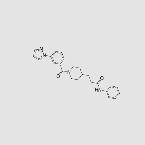 O=C(CCC1CCN(C(=O)c2cccc(-n3cccn3)c2)CC1)Nc1ccccc1